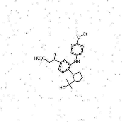 CCOc1ncc(Nc2cc(C(C)CC(=O)O)ccc2N2CCCC2C(C)(C)O)cn1